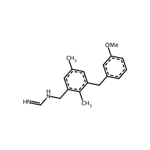 COc1cccc(Cc2cc(C)cc(CNC=N)c2C)c1